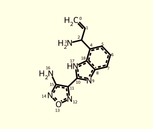 C=CC(N)c1cccc2nc(-c3nonc3N)[nH]c12